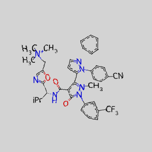 CC(C)C(NC(=O)c1c(-c2ccnn2-c2ccc(C#N)cc2)n(C)n(-c2cccc(C(F)(F)F)c2)c1=O)c1ncc(C[N+](C)(C)C)o1.c1ccccc1